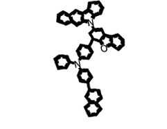 C1=C(n2c3ccccc3c3cc4ccccc4cc32)CC(c2ccc(N(c3ccccc3)c3ccc(-c4ccc5ccccc5c4)cc3)cc2)c2oc3ccccc3c21